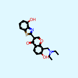 CCN(CC)Cc1c(O)ccc2c(=O)c(-c3nc4c(O)cccc4s3)coc12